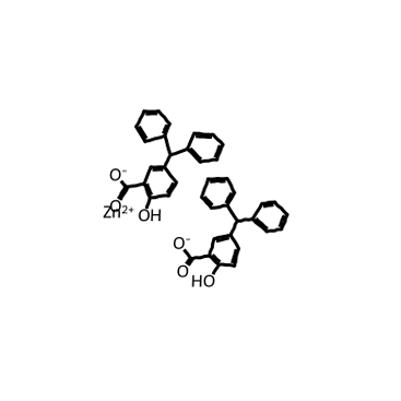 O=C([O-])c1cc(C(c2ccccc2)c2ccccc2)ccc1O.O=C([O-])c1cc(C(c2ccccc2)c2ccccc2)ccc1O.[Zn+2]